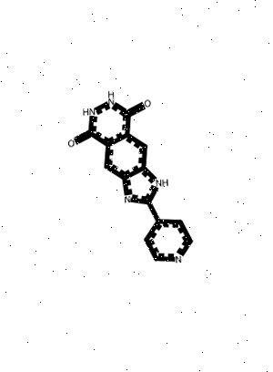 O=c1[nH][nH]c(=O)c2cc3[nH]c(-c4ccncc4)nc3cc12